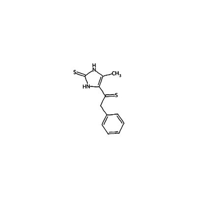 Cc1[nH]c(=S)[nH]c1C(=S)Cc1ccccc1